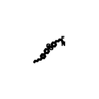 CCCCCc1ccc(C2CCC(C(=O)OC3CCC(CC/C=C(/F)C#N)CC3)CC2)cc1